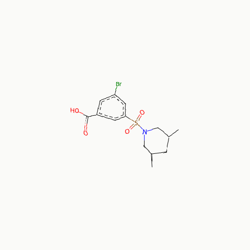 CC1CC(C)CN(S(=O)(=O)c2cc(Br)cc(C(=O)O)c2)C1